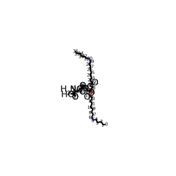 CCCCC/C=C\CCCCCCCC(=O)O[C@H](COC(=O)CCCCCCC/C=C\CCCCCC)COP(=O)(O)OC[C@H](N)C(=O)O